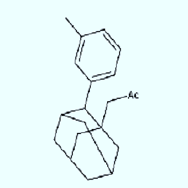 CC(=O)CC12CC3CC(CC(C3)C1c1cccc(C)c1)C2